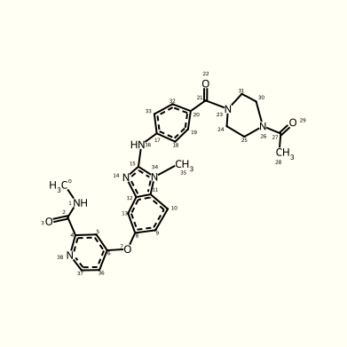 CNC(=O)c1cc(Oc2ccc3c(c2)nc(Nc2ccc(C(=O)N4CCN(C(C)=O)CC4)cc2)n3C)ccn1